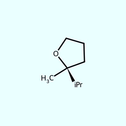 CC(C)[C@]1(C)CCCO1